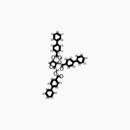 O=C(OC[C@@H]1OC[C@@H](OC(=O)c2ccc(-c3ccccc3)cc2)[C@H]1OC(=O)c1ccc(-c2ccccc2)cc1)c1ccc(-c2ccccc2)cc1